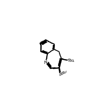 CC(C)(C)C1=C(C(C)(C)C)Cc2ccccc2N=C1